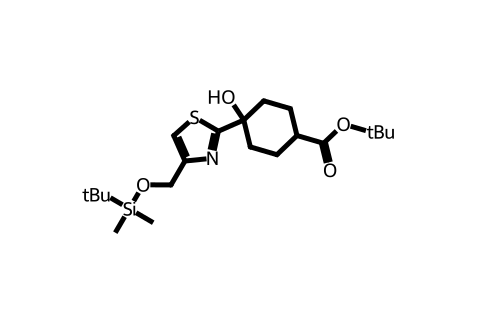 CC(C)(C)OC(=O)C1CCC(O)(c2nc(CO[Si](C)(C)C(C)(C)C)cs2)CC1